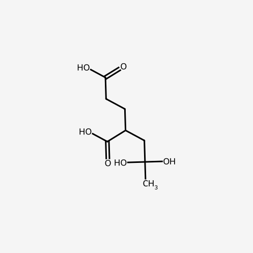 CC(O)(O)CC(CCC(=O)O)C(=O)O